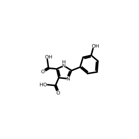 O=C(O)c1nc(-c2cccc(O)c2)[nH]c1C(=O)O